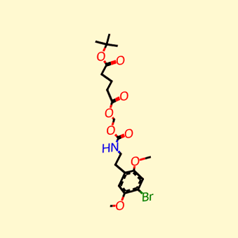 COc1cc(CCNC(=O)OCOC(=O)CCCC(=O)OC(C)(C)C)c(OC)cc1Br